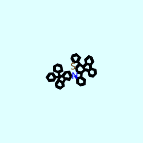 c1ccc(C2(c3ccccc3)c3ccccc3-c3cc(-n4c5ccccc5c5c6c7ccccc7c7ccccc7c6c6c7ccccc7sc6c54)ccc32)cc1